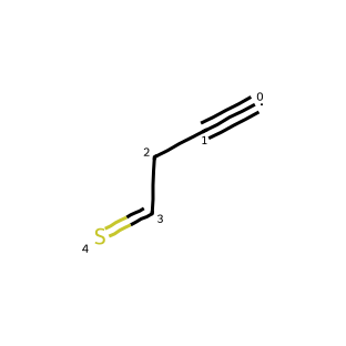 [C]#CCC=S